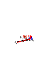 CCCCCCCCCCCCCCCCCC(C)(C)NCN1CCCC1=O.CS(=O)(=O)O